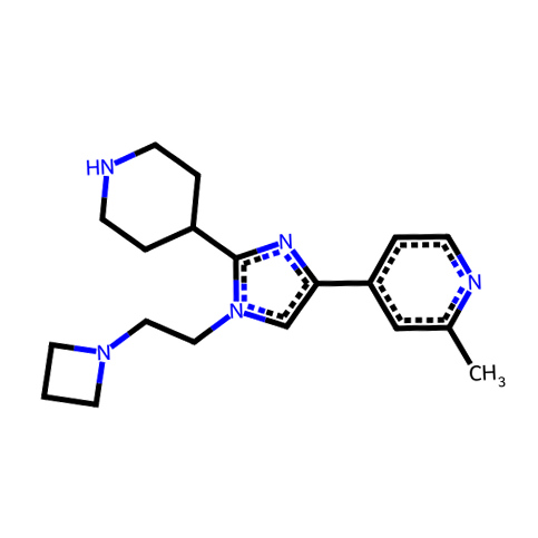 Cc1cc(-c2cn(CCN3CCC3)c(C3CCNCC3)n2)ccn1